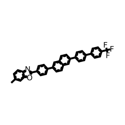 Cc1ccc2nc(-c3ccc(-c4ccc5cc(-c6ccc(-c7ccc(C(F)(F)F)cc7)cc6)ccc5c4)cc3)oc2c1